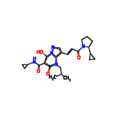 CC(C)Cn1c(=O)c(C(=O)NC2CC2)c(O)n2ncc(C=CC(=O)N3CCCC3C3CC3)c12